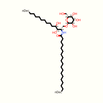 CCCCCCCCCCCCCCCCCCCCCCCCCCCC(=O)N[C@@H](CO[C@H]1O[C@H](CO)[C@H](O)[C@H](O)[C@H]1O)[C@H](O)[C@H](O)CCCCCCCCCCCCCCCCCCC